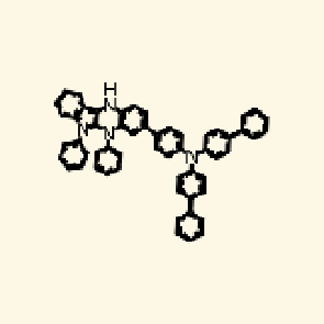 c1ccc(-c2ccc(N(c3ccc(-c4ccccc4)cc3)c3ccc(-c4ccc5c(c4)N(c4ccccc4)c4c(c6ccccc6n4-c4ccccc4)N5)cc3)cc2)cc1